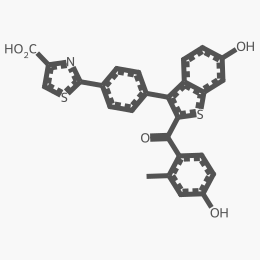 Cc1cc(O)ccc1C(=O)c1sc2cc(O)ccc2c1-c1ccc(-c2nc(C(=O)O)cs2)cc1